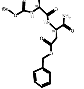 C[C@H](NC(=O)OC(C)(C)C)C(=O)N[C@H](CC(=O)OCc1ccccc1)C(N)=O